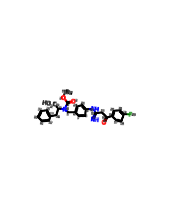 CC(C)(C)OC(=O)N(Cc1ccc(NC(=N)CC(=O)c2ccc(F)cc2)cc1)[C@@H](Cc1ccccc1)C(=O)O